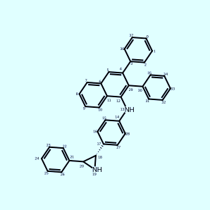 c1ccc(-c2cc3ccccc3c(Nc3ccc([C@@H]4NC4c4ccccc4)cc3)c2-c2ccccc2)cc1